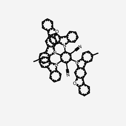 Cc1ccc2c(c1)c1cc3c(cc1n2-c1c(C#N)c(-n2c4ccccc4c4ccccc42)c(-n2c4ccc(C)cc4c4cc5c(cc42)oc2ccccc25)c(-n2c4ccccc4c4ccccc42)c1C#N)oc1ccccc13